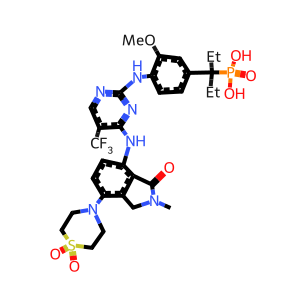 CCC(CC)(c1ccc(Nc2ncc(C(F)(F)F)c(Nc3ccc(N4CCS(=O)(=O)CC4)c4c3C(=O)N(C)C4)n2)c(OC)c1)P(=O)(O)O